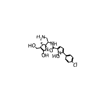 NCC(NC(=O)c1ccc(-c2ccc(Cl)cc2)n1O)c1nc(O)c(CO)s1